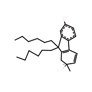 Bc1ccc2c(c1)C(CCCCCC)(CCCCCC)C1=C2C=C[C@](B)(C)C1